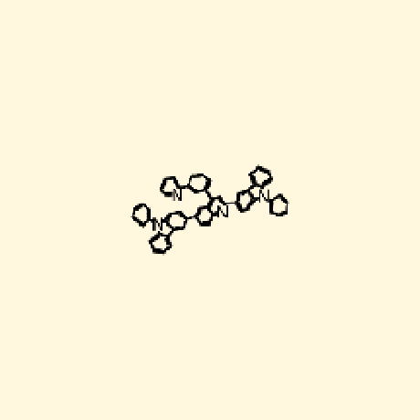 c1ccc(-n2c3ccccc3c3cc(-c4ccc5nc(-c6ccc7c(c6)c6ccccc6n7-c6ccccc6)cc(-c6cccc(-c7ccccn7)c6)c5c4)ccc32)cc1